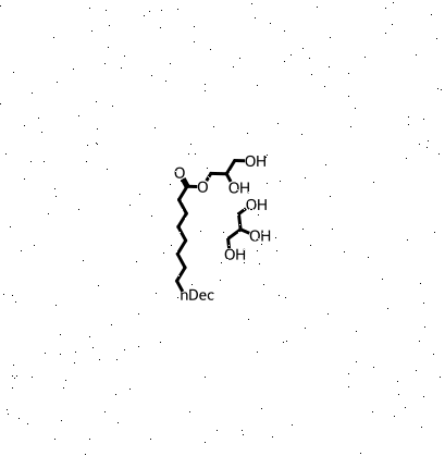 CCCCCCCCCCCCCCCCCC(=O)OCC(O)CO.OCC(O)CO